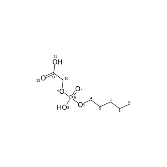 CCCCCOP(=O)(O)OCC(=O)O